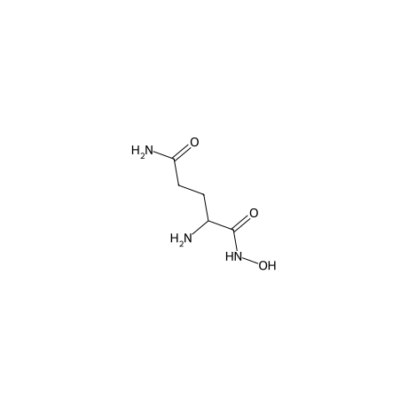 NC(=O)CCC(N)C(=O)NO